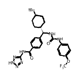 CC(C)(C)[C@H]1CC[C@H](C(NC(=O)Nc2ccc(OC(F)(F)F)cc2)c2ccc(C(=O)Nc3nn[nH]n3)cc2)CC1